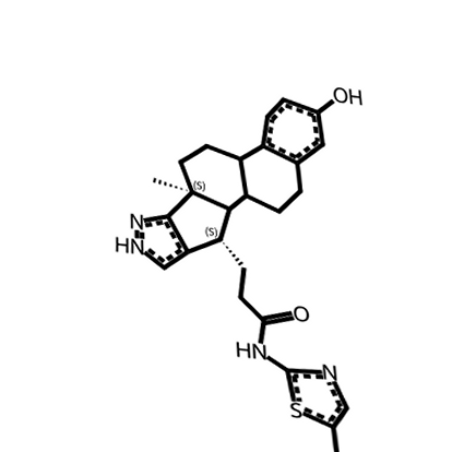 Cc1cnc(NC(=O)CC[C@@H]2c3c[nH]nc3[C@@]3(C)CCC4c5ccc(O)cc5CCC4C23)s1